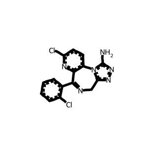 Nc1nnc2n1-c1ccc(Cl)nc1C(c1ccccc1Cl)=NC2